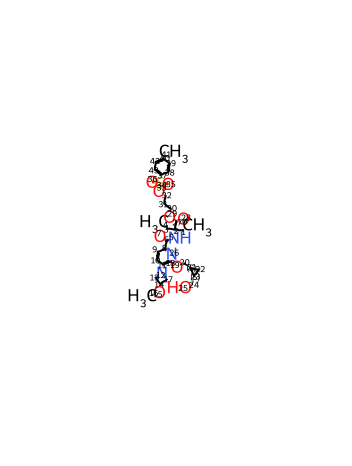 CCC(CC)(NC(=O)c1ccc(N2CC(OC)C2)c(OC[C@H]2C[C@@H]2CO)n1)C(=O)OCCCOS(=O)(=O)c1ccc(C)cc1